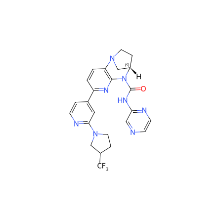 O=C(Nc1cnccn1)N1c2nc(-c3ccnc(N4CCC(C(F)(F)F)C4)c3)ccc2N2CC[C@H]1C2